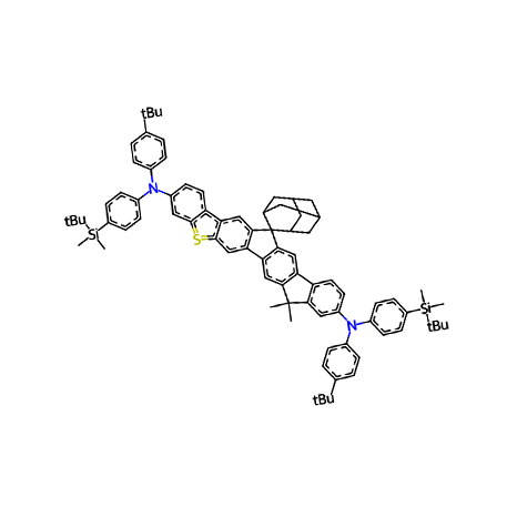 CC(C)(C)c1ccc(N(c2ccc([Si](C)(C)C(C)(C)C)cc2)c2ccc3c(c2)C(C)(C)c2cc4c(cc2-3)C2(c3cc5c(cc3-4)sc3cc(N(c4ccc(C(C)(C)C)cc4)c4ccc([Si](C)(C)C(C)(C)C)cc4)ccc35)C3CC4CC(C3)CC2C4)cc1